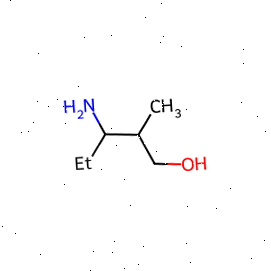 CCC(N)C(C)CO